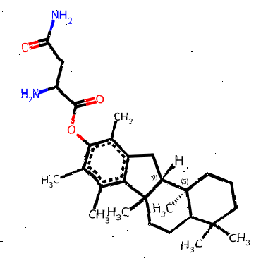 Cc1c(C)c2c(c(C)c1OC(=O)C(N)CC(N)=O)C[C@H]1C2(C)CCC2C(C)(C)CCC[C@@]21C